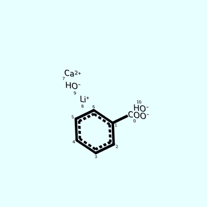 O=C([O-])c1ccccc1.[Ca+2].[Li+].[OH-].[OH-]